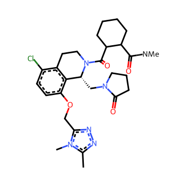 CNC(=O)C1CCCCC1C(=O)N1CCc2c(Cl)ccc(OCc3nnc(C)n3C)c2[C@H]1CN1CCCC1=O